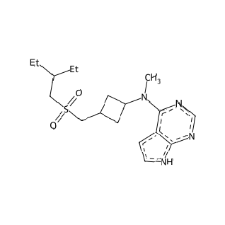 CCC(CC)CS(=O)(=O)CC1CC(N(C)c2ncnc3[nH]ccc23)C1